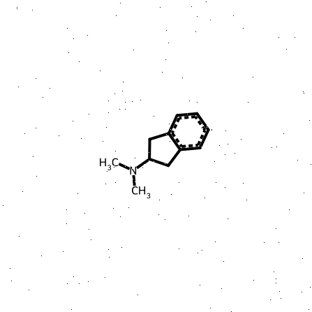 CN(C)C1Cc2c[c]ccc2C1